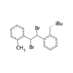 CC[C@@H](C)Cc1ccccc1C(Br)C(Br)c1ccccc1C